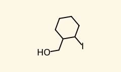 OCC1CCCCC1I